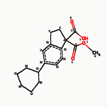 COC(=O)C1(C(=O)O)CCc2cc(C3CCCCC3)ccc21